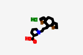 Cl.O=C(O)[C@@H]1CCCN(CCC=C2c3sccc3CCc3ccsc32)C1